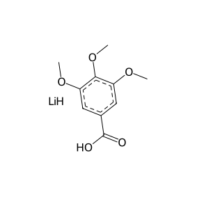 COc1cc(C(=O)O)cc(OC)c1OC.[LiH]